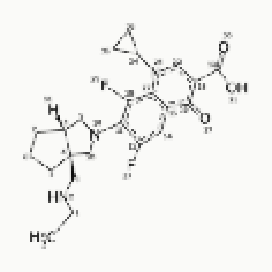 CCNC[C@@]12CCC[C@@H]1CN(c1c(F)cc3c(=O)c(C(=O)O)cn(C4CC4)c3c1F)C2